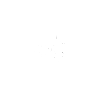 c1ccc2cc(-n3c4cccnc4c4ncncc43)ccc2c1